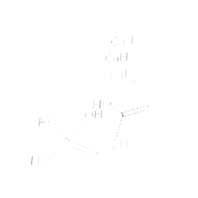 O=C(O)O.O=P(O)(O)O.[CaH2].[CaH2].[CaH2]